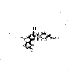 Cc1cc(C)c(S(=O)(=O)N2CCN(CCO)CC2)cc1-c1ccnc(Cl)c1